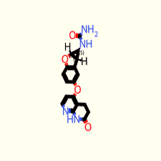 NC(=O)N[C@@H]1[C@H]2Oc3ccc(Oc4ccnc5c4CCC(=O)N5)cc3[C@@H]12